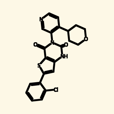 O=c1[nH]c2cc(-c3ccccc3Cl)sc2c(=O)n1-c1cnccc1C1CCOCC1